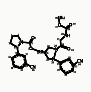 CC(C)(C)OC(=O)N1CCCN1c1cccc(C#N)c1.CC(C)(C)OC(=O)NCC(=O)N1CCCN1c1cccc(C#N)c1